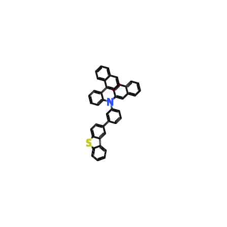 c1cc(-c2ccc3sc4ccccc4c3c2)cc(N(c2ccc3ccccc3c2)c2ccccc2-c2cccc3ccccc23)c1